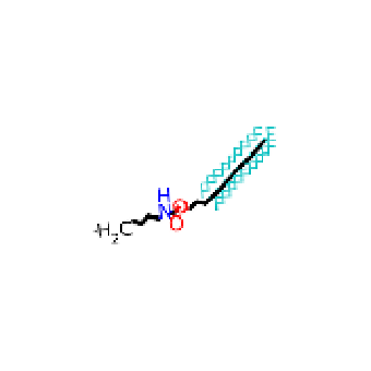 [CH2]CCCCNC(=O)OCCCC(F)(F)C(F)(F)C(F)(F)C(F)(F)C(F)(F)C(F)(F)C(F)(F)C(F)(F)C(F)(F)F